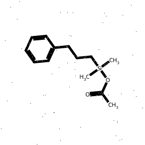 CC(=O)O[Si](C)(C)CCCc1ccccc1